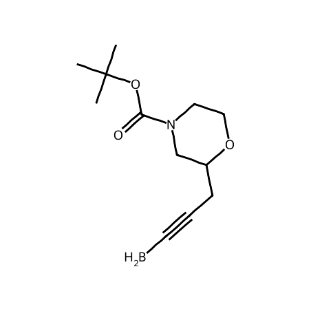 BC#CCC1CN(C(=O)OC(C)(C)C)CCO1